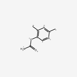 Cc1ncc(OC(N)=O)c(C)n1